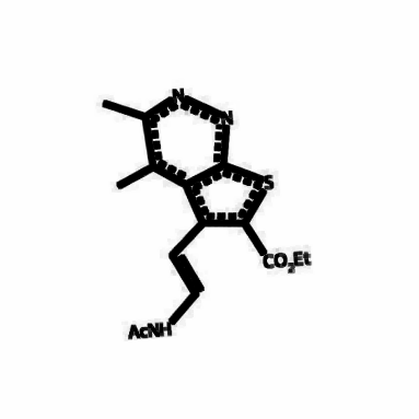 CCOC(=O)c1sc2nnc(C)c(C)c2c1/C=C/NC(C)=O